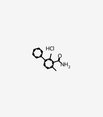 Cc1ccc(-c2ccccc2)c(C)c1C(N)=O.Cl